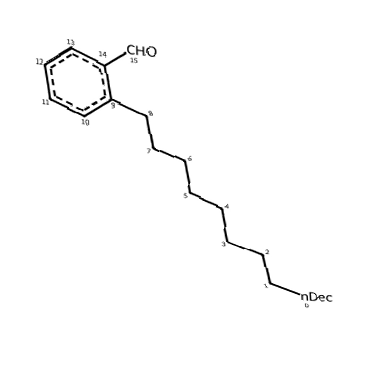 CCCCCCCCCCCCCCCCCCc1ccccc1C=O